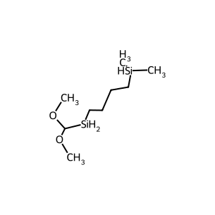 COC(OC)[SiH2]CCCC[SiH](C)C